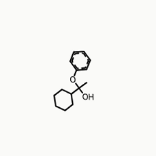 CC(O)(Oc1ccccc1)C1CCCCC1